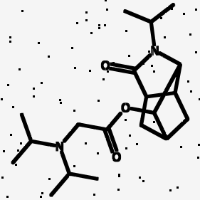 CC(C)N(CC(=O)OC1C2CC3C(=O)N(C(C)C)C1C3C2)C(C)C